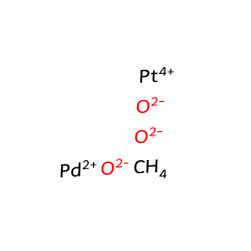 C.[O-2].[O-2].[O-2].[Pd+2].[Pt+4]